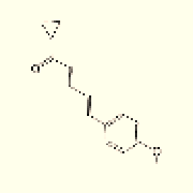 COc1ccc(C=CC=CC(=O)C2CC2)cc1